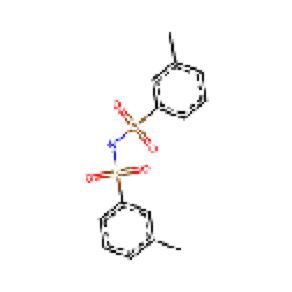 Cc1cccc(S(=O)(=O)[N]S(=O)(=O)c2cccc(C)c2)c1